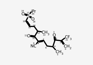 C=C(C(=O)C(C)CC=C(C#N)C(=O)C(C)C/C=C\S(=O)(=O)C(C)C)C(F)(F)F